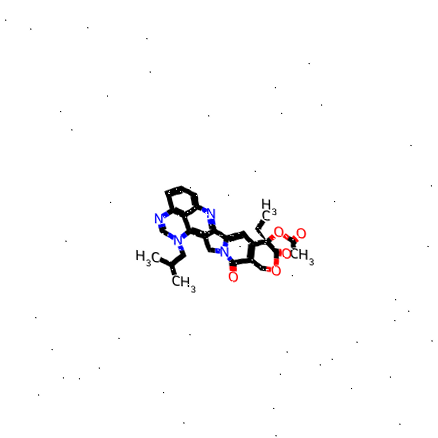 CC[C@@]1(OC(C)=O)C(=O)OCc2c1cc1n(c2=O)Cc2c-1nc1cccc3c1c2N(CC(C)C)C=N3